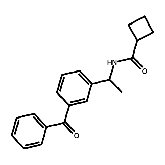 CC(NC(=O)C1CCC1)c1cccc(C(=O)c2ccccc2)c1